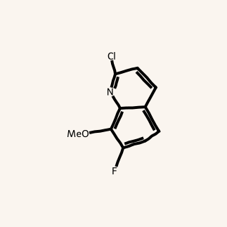 COc1c(F)ccc2ccc(Cl)nc12